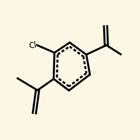 C=C(C)c1ccc(C(=C)C)c(Cl)c1